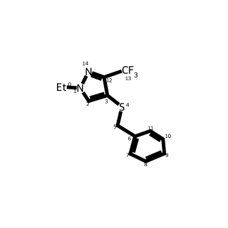 CCn1cc(SCc2ccccc2)c(C(F)(F)F)n1